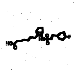 O=C(O)CCCC=CCC1C2CCC(O2)C1NS(=O)(=O)C=Cc1ccc(F)cc1